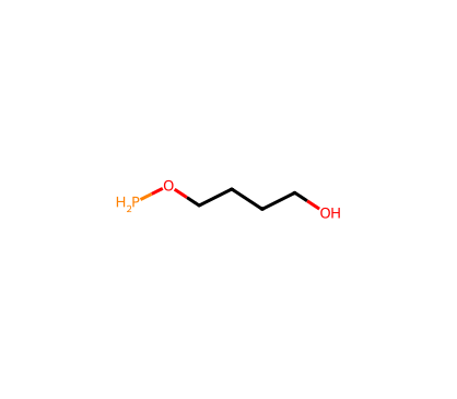 OCCCCOP